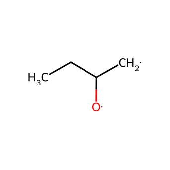 [CH2]C([O])CC